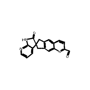 O=Cc1ccc2cc3c(cc2n1)CC1(C3)C(=O)Nc2ncccc21